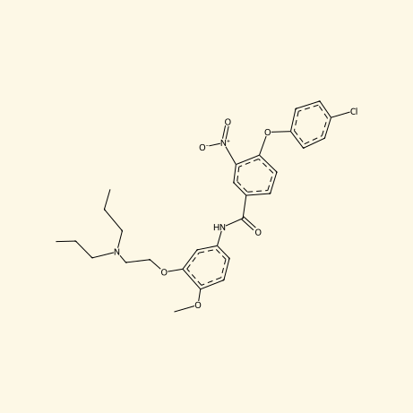 CCCN(CCC)CCOc1cc(NC(=O)c2ccc(Oc3ccc(Cl)cc3)c([N+](=O)[O-])c2)ccc1OC